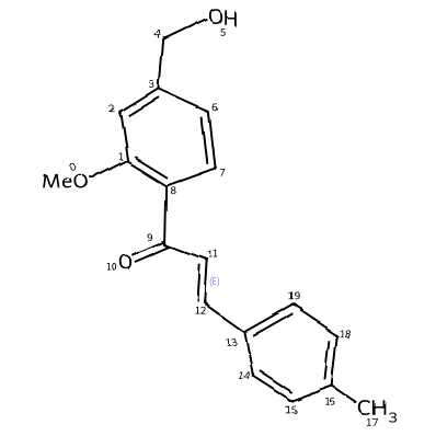 COc1cc(CO)ccc1C(=O)/C=C/c1ccc(C)cc1